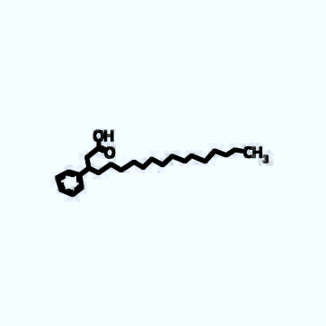 CCCCCCCCCCCCCCCC(CC(=O)O)c1ccccc1